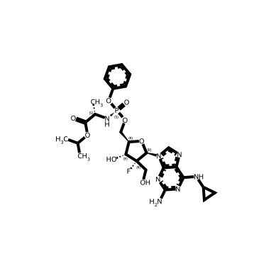 CC(C)OC(=O)[C@H](C)N[P@](=O)(OC[C@H]1O[C@@H](n2cnc3c(NC4CC4)nc(N)nc32)[C@@](F)(CO)[C@@H]1O)Oc1ccccc1